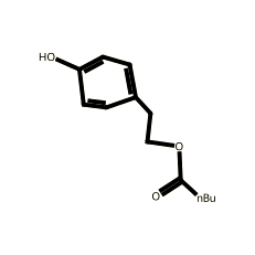 CCCCC(=O)OCCc1ccc(O)cc1